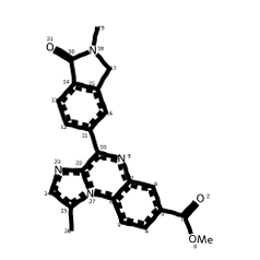 COC(=O)c1ccc2c(c1)nc(-c1ccc3c(c1)CN(C)C3=O)c1ncc(C)n12